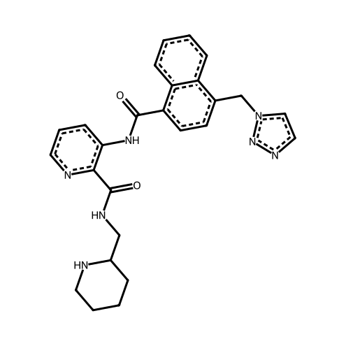 O=C(NCC1CCCCN1)c1ncccc1NC(=O)c1ccc(Cn2ccnn2)c2ccccc12